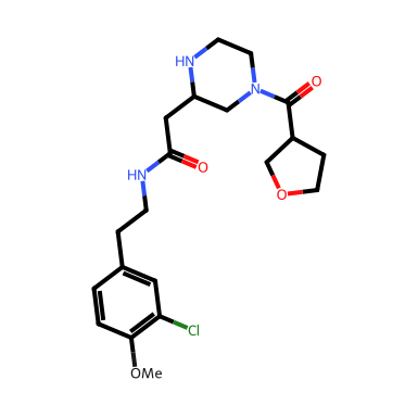 COc1ccc(CCNC(=O)CC2CN(C(=O)C3CCOC3)CCN2)cc1Cl